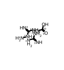 N=C(N)N.N=C(N)NN.O=C(O)O